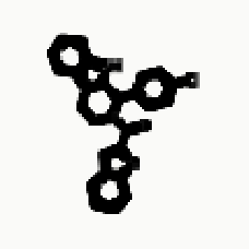 O=C(c1cc2ccccc2o1)N1CCc2c([nH]c3ccccc23)C1c1ccc(Cl)cc1